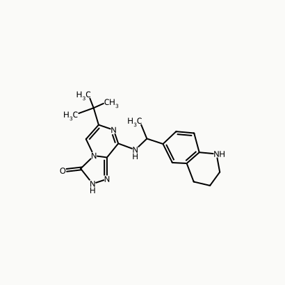 CC(Nc1nc(C(C)(C)C)cn2c(=O)[nH]nc12)c1ccc2c(c1)CCCN2